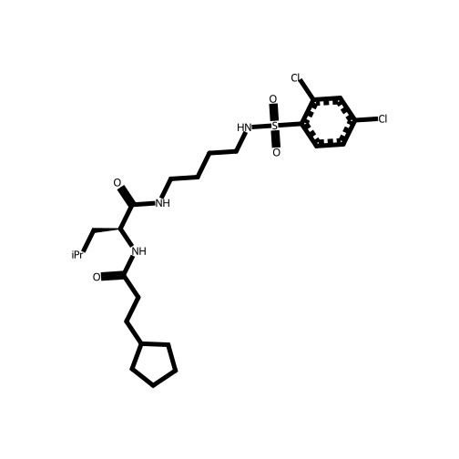 CC(C)C[C@H](NC(=O)CCC1CCCC1)C(=O)NCCCCNS(=O)(=O)c1ccc(Cl)cc1Cl